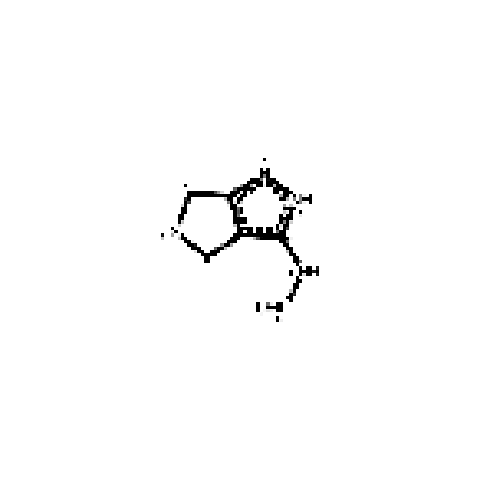 O=CNc1[nH]nc2c1CSC2